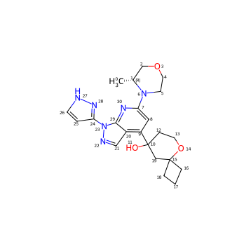 C[C@@H]1COCCN1c1cc(C2(O)CCOC3(CCC3)C2)c2cnn(-c3cc[nH]n3)c2n1